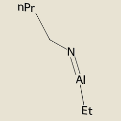 CCCC/[N]=[Al]/[CH2]C